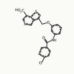 O=C(Nc1cccc(OCc2csc3c(C(=O)O)cncc23)c1)c1ccc(Cl)cc1